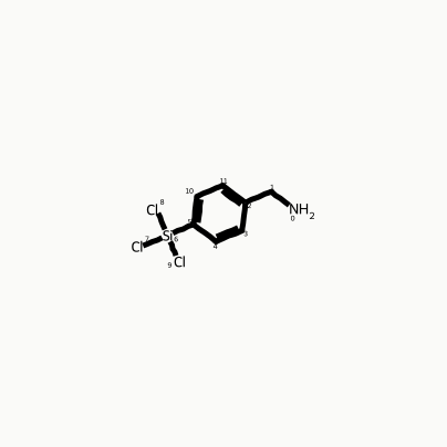 NCc1ccc([Si](Cl)(Cl)Cl)cc1